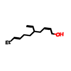 C=CC(C/C=C\CO)CC/C=C/CC